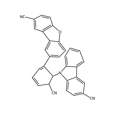 N#Cc1ccc2oc3ccc(C4=CC=CC(C#N)C4n4c5ccccc5c5cc(C#N)ccc54)cc3c2c1